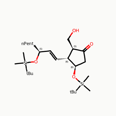 CCCCC[C@@H](C=C[C@H]1[C@H](O[Si](C)(C)C(C)(C)C)CC(=O)[C@@H]1CO)O[Si](C)(C)C(C)(C)C